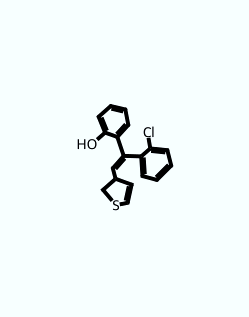 Oc1ccccc1C(=CC1C=CSC1)c1ccccc1Cl